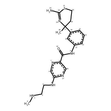 CNCCNc1cnc(C(=O)Nc2cccc(C3(C)CCSC(N)=N3)c2)cn1